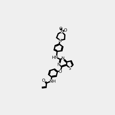 C=CC(=O)Nc1cccc(Oc2nc(Nc3ccc(N4CCS(=O)(=O)CC4)cc3)nc3ccsc23)c1